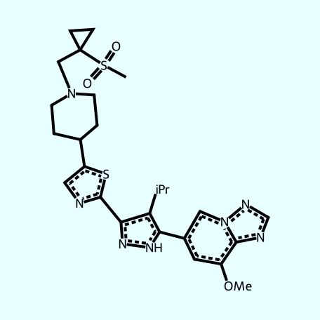 COc1cc(-c2[nH]nc(-c3ncc(C4CCN(CC5(S(C)(=O)=O)CC5)CC4)s3)c2C(C)C)cn2ncnc12